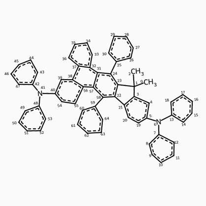 CC1(C)c2cc(N(c3ccccc3)c3ccccc3)ccc2-c2c1c(-c1ccccc1)c1c3ccccc3c3cc(N(c4ccccc4)c4ccccc4)ccc3c1c2-c1ccccc1